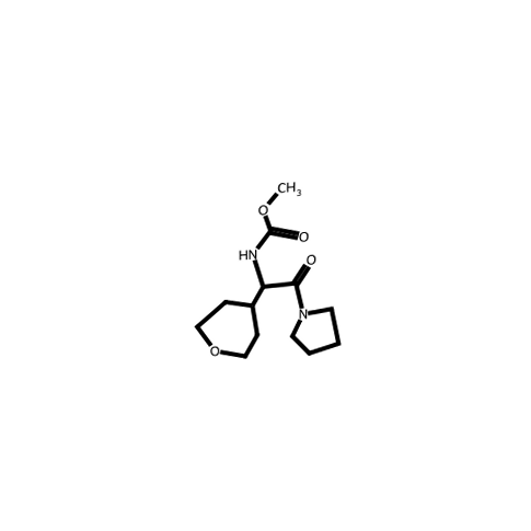 COC(=O)NC(C(=O)N1CCCC1)C1CCOCC1